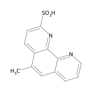 Cc1cc2cccnc2c2nc(S(=O)(=O)O)ccc12